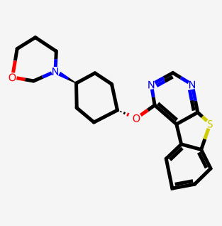 c1ccc2c(c1)sc1ncnc(O[C@H]3CC[C@H](N4CCCOC4)CC3)c12